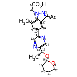 CC(=O)c1nn(CC(=O)O)c2c(C)cc(-c3cnc(C(C)OC4CCCCO4)cn3)cc12